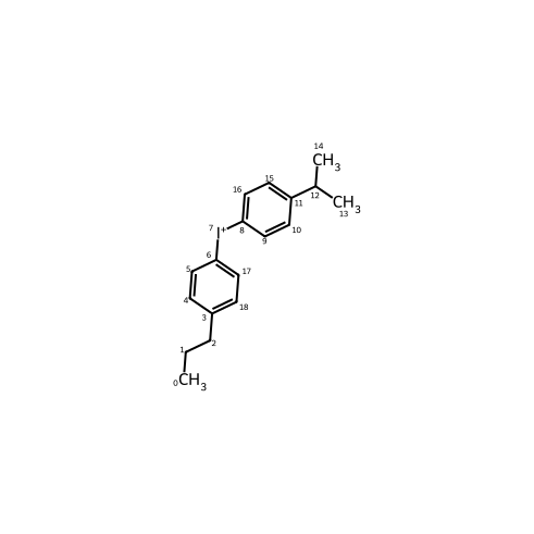 CCCc1ccc([I+]c2ccc(C(C)C)cc2)cc1